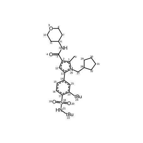 Cc1c(C(=O)NC2CCOCC2)cc(-c2ccc(S(=O)(=O)NC(C)(C)C)c(C(C)(C)C)c2)n1CC1CCCC1